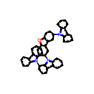 c1ccc2c(c1)c1ccccc1n2-c1ccc2oc3ccc(-n4c5ccccc5c5cccc(-n6c7ccccc7c7ccccc76)c54)cc3c2c1